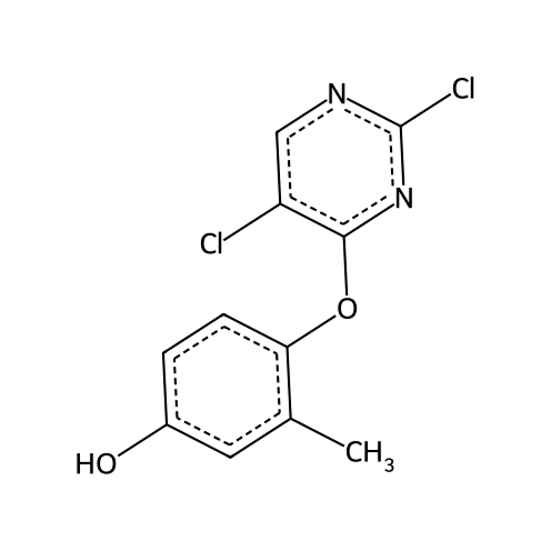 Cc1cc(O)ccc1Oc1nc(Cl)ncc1Cl